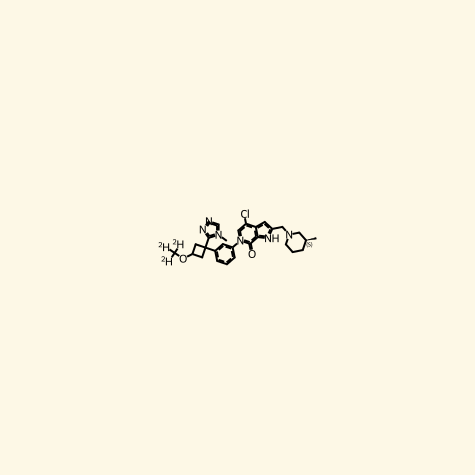 [2H]C([2H])([2H])OC1CC(c2cccc(-n3cc(Cl)c4cc(CN5CCC[C@H](C)C5)[nH]c4c3=O)c2)(c2nncn2C)C1